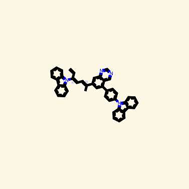 C=C/C(=C\C=C(/C)c1cc(-c2ccc(-n3c4ccccc4c4ccccc43)cc2)c2cncnc2c1)n1c2ccccc2c2ccccc21